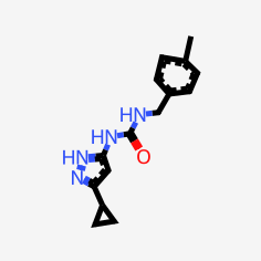 Cc1ccc(CNC(=O)Nc2cc(C3CC3)n[nH]2)cc1